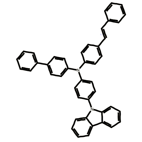 C(=C\c1ccc(N(c2ccc(-c3ccccc3)cc2)c2ccc(-n3c4ccccc4c4ccccc43)cc2)cc1)/c1ccccc1